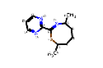 CC1CCCC(C)S/C(c2ncccn2)=N\1